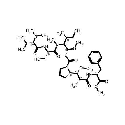 CC[C@H](C)[C@@H]([C@@H](CC(=O)N1CCC[C@H]1[C@H](OC)[C@@H](C)C(=O)N[C@@H](Cc1ccccc1)C(=O)OC)OC)N(C)C(=O)[C@H](CO)NC(=O)[C@H](C(C)C)N(C)C